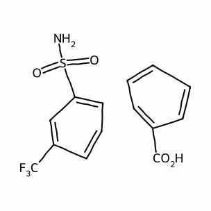 NS(=O)(=O)c1cccc(C(F)(F)F)c1.O=C(O)c1ccccc1